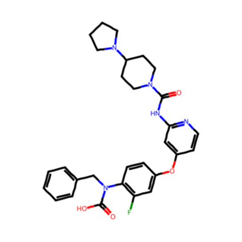 O=C(Nc1cc(Oc2ccc(N(Cc3ccccc3)C(=O)O)c(F)c2)ccn1)N1CCC(N2CCCC2)CC1